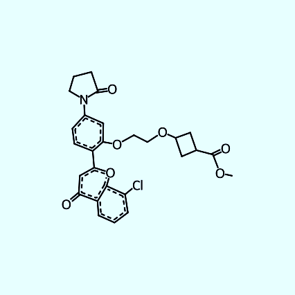 COC(=O)C1CC(OCCOc2cc(N3CCCC3=O)ccc2-c2cc(=O)c3cccc(Cl)c3o2)C1